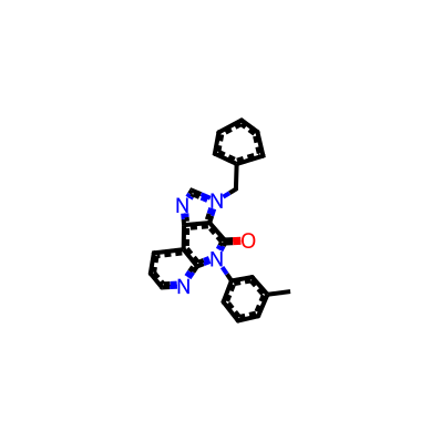 Cc1cccc(-n2c(=O)c3c(ncn3Cc3ccccc3)c3cccnc32)c1